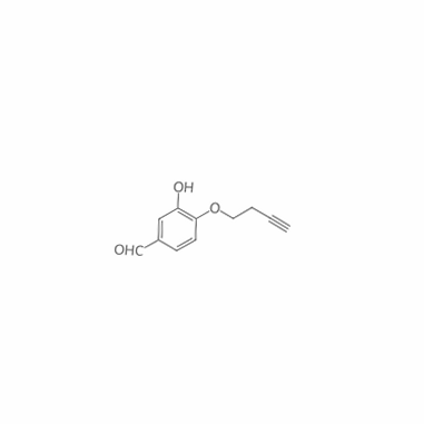 C#CCCOc1ccc(C=O)cc1O